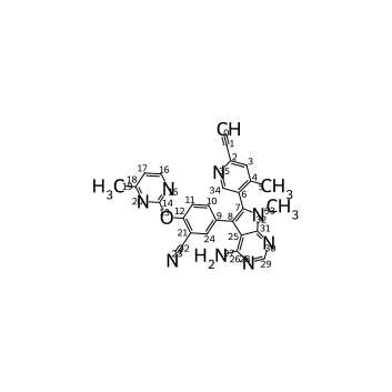 C#Cc1cc(C)c(-c2c(-c3ccc(Oc4nccc(C)n4)c(C#N)c3)c3c(N)ncnc3n2C)cn1